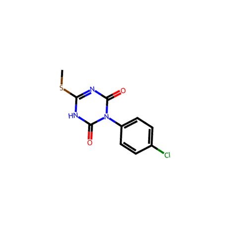 CSc1nc(=O)n(-c2ccc(Cl)cc2)c(=O)[nH]1